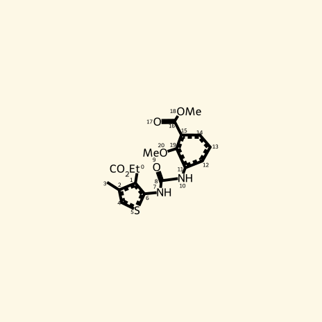 CCOC(=O)c1c(C)csc1NC(=O)Nc1cccc(C(=O)OC)c1OC